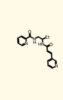 CCC(CNC(=O)c1ccccn1)NC(=O)C=Cc1cccnc1